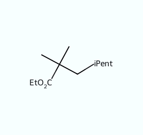 CCCC(C)CC(C)(C)C(=O)OCC